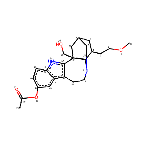 COCCC1CC2CN3CCc4c([nH]c5ccc(OC(C)=O)cc45)C(CO)(C2)C13